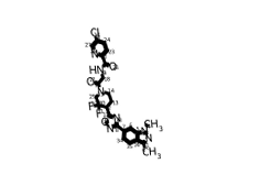 Cc1nn(C)c2cc(-c3noc(C4CCN(C(=O)CNC(=O)c5ccc(Cl)cn5)CC4(F)F)n3)ccc12